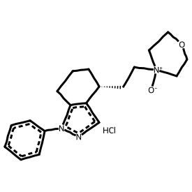 Cl.[O-][N+]1(CC[C@H]2CCCc3c2cnn3-c2ccccc2)CCOCC1